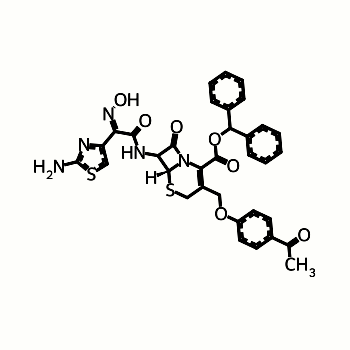 CC(=O)c1ccc(OCC2=C(C(=O)OC(c3ccccc3)c3ccccc3)N3C(=O)C(NC(=O)/C(=N\O)c4csc(N)n4)[C@H]3SC2)cc1